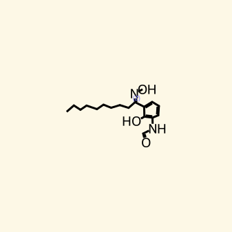 CCCCCCCCC/C(=N/O)c1cccc(NC=O)c1O